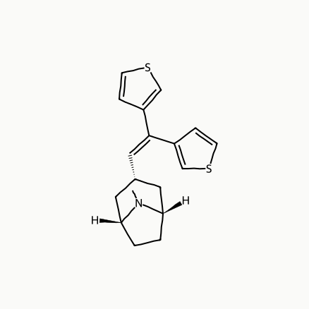 CN1[C@@H]2CC[C@H]1C[C@@H](C=C(c1ccsc1)c1ccsc1)C2